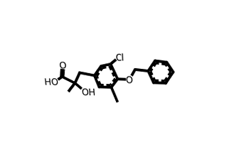 Cc1cc(CC(C)(O)C(=O)O)cc(Cl)c1OCc1ccccc1